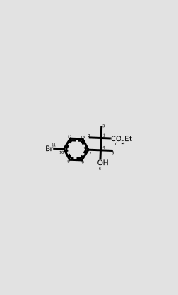 CCOC(=O)C(C)(C)C(C)(O)c1ccc(Br)cc1